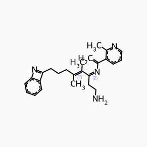 C=C(/N=C(CCN)\C(C)=C(/C)CCCC1=Nc2ccccc21)c1cccnc1C